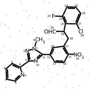 Cn1nc(-c2ccccn2)nc1-c1ccc([N+](=O)[O-])c(CC(C=O)c2c(F)cccc2Cl)c1